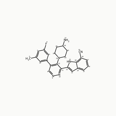 Cc1cc(F)cc(-c2cnnc(-c3cc4cccc(C#N)c4[nH]3)c2N2CCC(N)CC2)c1